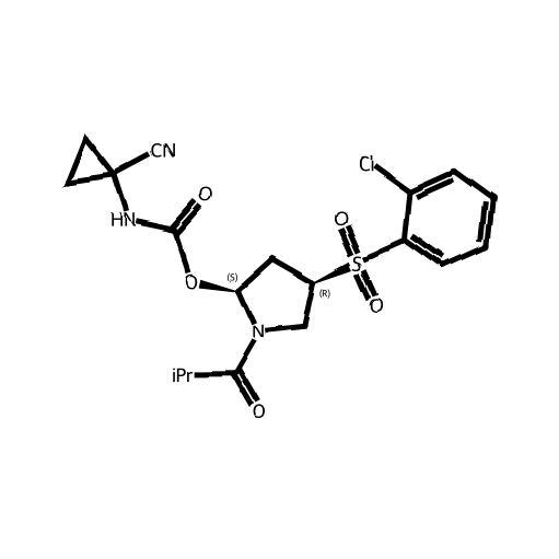 CC(C)C(=O)N1C[C@H](S(=O)(=O)c2ccccc2Cl)C[C@@H]1OC(=O)NC1(C#N)CC1